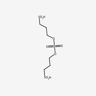 O=S(=O)(O)CCCOS(=O)(=O)OCCCS(=O)(=O)O